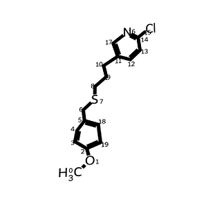 COc1ccc(CSC[CH]Cc2ccc(Cl)nc2)cc1